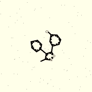 Cc1noc(-c2cccc(Cl)c2)c1-c1ccccc1